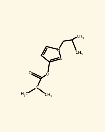 CC(C)Cn1ccc(OC(=O)N(C)C)n1